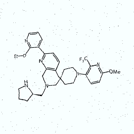 CCOc1ncccc1-c1ccc2c(n1)CN(C[C@H]1CCCN1)CC21CCN(c2ccc(OC)nc2C(F)(F)F)CC1